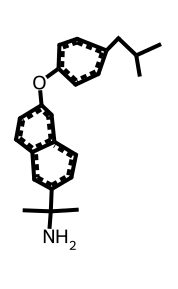 CC(C)Cc1ccc(Oc2ccc3cc(C(C)(C)N)ccc3c2)cc1